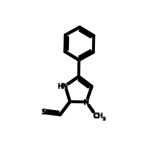 CN1C=C(c2ccccc2)NC1C=S